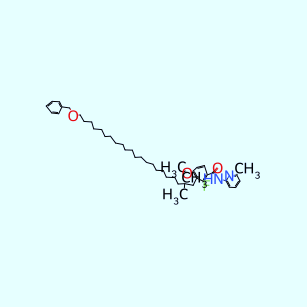 COc1ccc(C(=O)Nc2cccc(C)n2)c(F)c1CC(C)(C)CCCCCCCCCCCCCCCCCCCCOCc1ccccc1